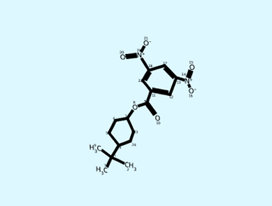 CC(C)(C)C1CCC(OC(=O)c2cc([N+](=O)[O-])cc([N+](=O)[O-])c2)CC1